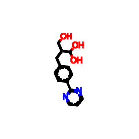 OCC(Cc1ccc(-c2ncccn2)cc1)C(O)O